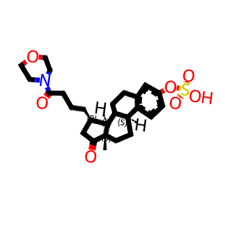 C[C@]12CC[C@@H]3c4ccc(OS(=O)(=O)O)cc4CCC3[C@@H]1[C@H](CCCC(=O)N1CCOCC1)CC2=O